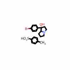 Cc1ccc(S(=O)(=O)O)cc1.O[C@]1(c2ccc(Br)cc2)CCN2CCCC21